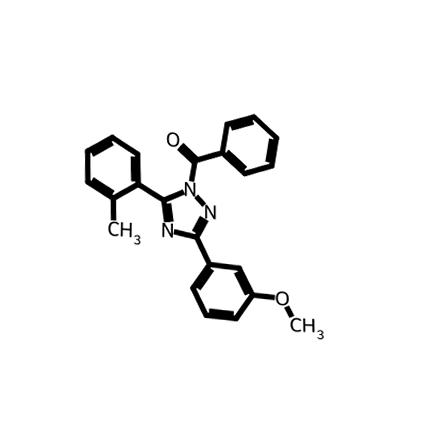 COc1cccc(-c2nc(-c3ccccc3C)n(C(=O)c3ccccc3)n2)c1